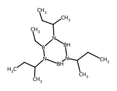 CCB1N(C(C)CC)BN(C(C)CC)BN1C(C)CC